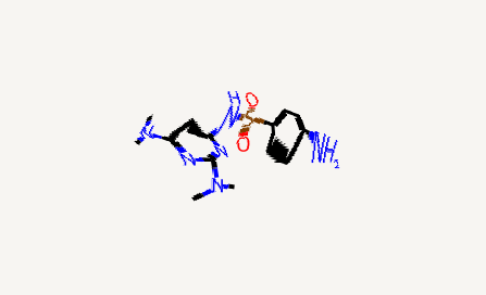 CN(C)c1cc(NS(=O)(=O)c2ccc(N)cc2)nc(N(C)C)n1